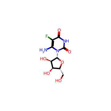 Nc1c(F)c(=O)[nH]c(=O)n1[C@@H]1O[C@H](CO)[C@@H](O)[C@H]1O